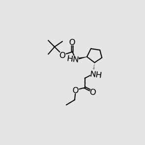 CCOC(=O)CN[C@H]1CCC[C@@H]1NC(=O)OC(C)(C)C